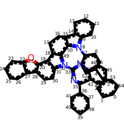 c1ccc(-c2ccc(-n3c4ccccc4c4ccc5c6c7oc8ccccc8c7ccc6n(-c6nc(-c7ccccc7)c7ccccc7n6)c5c43)cc2)cc1